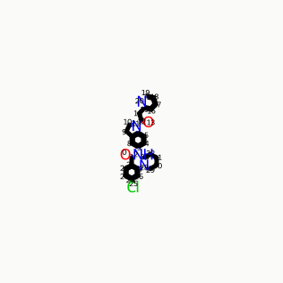 O=C(Nc1ccc2c(c1)CCN2C(=O)Cc1ccccn1)c1ccc(Cl)cc1N1CCCCC1